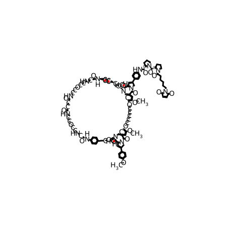 COc1ccc(C2=C[C@H]3C(O)N4C(=O)OCc5ccc(cc5)NC(=O)CNCCOCCNC(=O)CCC(=O)NCCOCCNCC(=O)Nc5ccc(cc5)COC(=O)N5c6cc(c(OC)cc6C(=O)N6CC(c7ccc(NC(=O)[C@@H]8CCCN8C(=O)[C@@H]8CCCN8C(=O)CCCCCN8C(=O)C=CC8=O)cc7)=C[C@H]6C5O)OCCCCCOc5cc4c(cc5OC)C(=O)N3C2)cc1